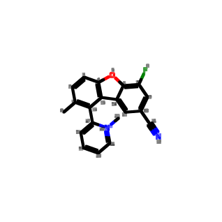 Cc1ccc2oc3c(F)cc(C#N)cc3c2c1-c1cccc[n+]1C